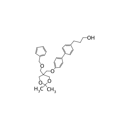 CC1(C)OCC(COCc2ccccc2)(COc2ccc(-c3ccc(CCCO)cc3)cc2)CO1